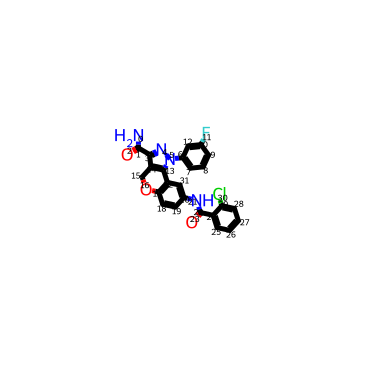 NC(=O)c1nn(-c2cccc(F)c2)c2c1COc1ccc(NC(=O)c3ccccc3Cl)cc1-2